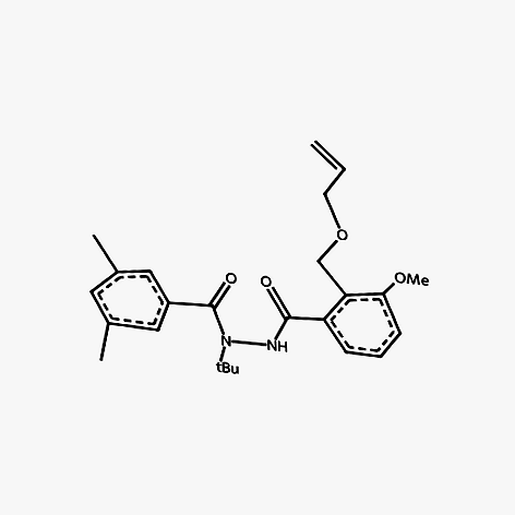 C=CCOCc1c(OC)cccc1C(=O)NN(C(=O)c1cc(C)cc(C)c1)C(C)(C)C